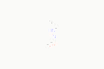 CS(=O)(=O)c1c(-c2ccccc2)ccc(N2CCCC(Nc3cccc(C#N)c3)C2=O)c1F